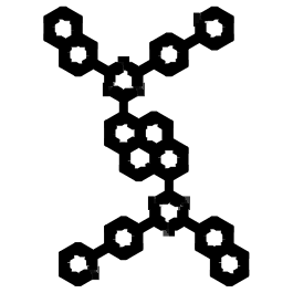 c1ccc(-c2ccc(-c3nc(-c4ccc5ccccc5c4)nc(-c4ccc5ccc6c(-c7nc(-c8ccc(-c9ccccn9)cc8)nc(-c8ccc9ccccc9c8)n7)ccc7ccc4c5c76)n3)cc2)nc1